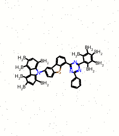 Bc1cc(B)c2c(c1B)c1c(B)c(B)cc(B)c1n2-c1ccc2sc3c(-c4nc(-c5ccccc5)nc(-c5c(B)c(B)c(B)c(B)c5B)n4)cccc3c2c1